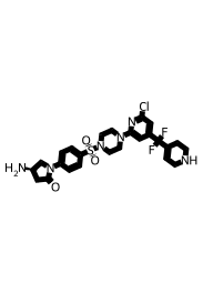 N[C@@H]1CC(=O)N(c2ccc(S(=O)(=O)N3CCN(c4cc(C(F)(F)C5=CCNCC5)cc(Cl)n4)CC3)cc2)C1